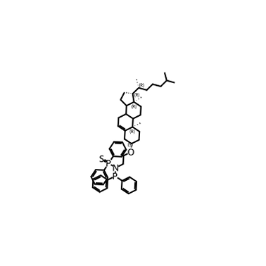 CC(C)CCC[C@@H](C)[C@H]1CCC2C3CC=C4C[C@@H](OCCN(P(c5ccccc5)c5ccccc5)P(=S)(c5ccccc5)c5ccccc5)CC[C@]4(C)C3CC[C@@]21C